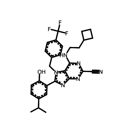 CC(C)c1ccc(O)c(-c2nc3nc(C#N)nc(NCCC4CCC4)c3n2Cc2ccc(C(F)(F)F)cc2)c1